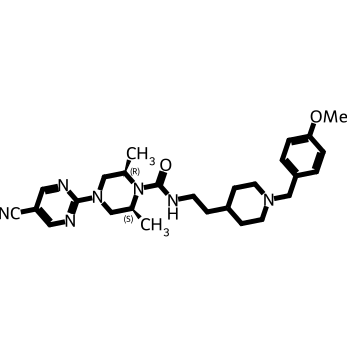 COc1ccc(CN2CCC(CCNC(=O)N3[C@H](C)CN(c4ncc(C#N)cn4)C[C@@H]3C)CC2)cc1